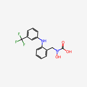 O=C(O)N(O)Cc1ccccc1Nc1cccc(C(F)(F)F)c1